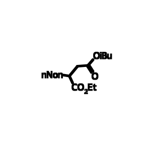 CCCCCCCCCC(CC(=O)OCC(C)C)C(=O)OCC